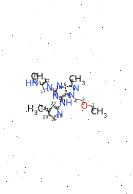 CCOCCn1nc(C)c2nc(N3CC(NC)C3)nc(Nc3cc(C)ccn3)c21